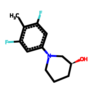 Cc1c(F)cc(N2CCC[C@@H](O)C2)cc1F